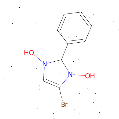 ON1C=C(Br)N(O)C1c1ccccc1